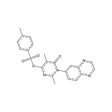 Cc1ccc(S(=O)(=O)Oc2nc(C)n(-c3ccc4nccnc4c3)c(=O)c2C)cc1